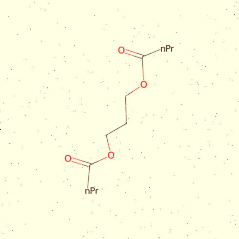 CCCC(=O)OCCCOC(=O)CCC